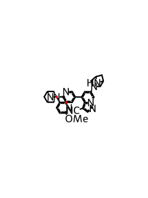 COc1ccc(CN2C3CC2CN(c2ccc(-c4cc(N5CC6CC(C5)N6)cn5ncc(C#N)c45)cn2)C3)cn1